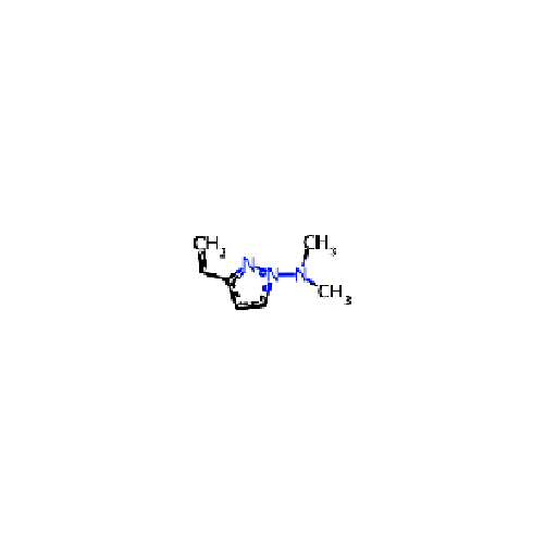 C=Cc1ccn(N(C)C)n1